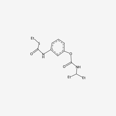 CCSC(=O)Nc1cccc(OC(=O)NC(CC)CC)c1